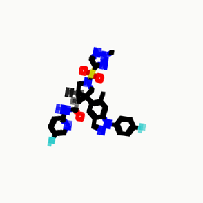 Cc1cc2c(cnn2-c2ccc(F)cc2)cc1C12CN(S(=O)(=O)c3cnn(C)n3)C[C@@H]1[C@H]2C(=O)Nc1ccc(F)cn1